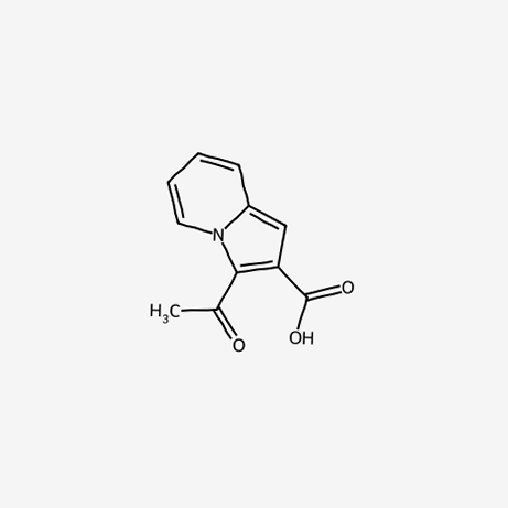 CC(=O)c1c(C(=O)O)cc2ccccn12